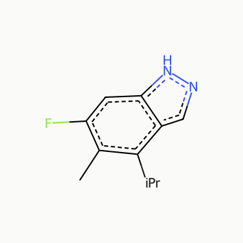 Cc1c(F)cc2[nH]ncc2c1C(C)C